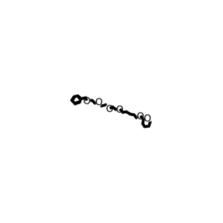 c1ccc(COCCOCCOCCOCCCCCOC2CCCCO2)cc1